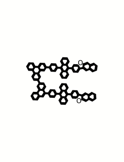 c1ccc2cc3c(cc2c1)oc1cc(-c2c4ccccc4c(-c4ccc(-c5ccc6c7ccccc7c7ccc(-c8ccc9c(-c%10ccc(-c%11c%12ccccc%12c(-c%12ccc%13c(c%12)oc%12cc%14ccccc%14cc%12%13)c%12ccccc%11%12)cc%10)cc%10ccccc%10c9c8)cc7c6c5)cc4)c4ccccc24)ccc13